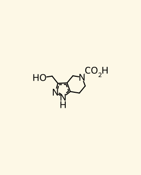 O=C(O)N1CCc2[nH]nc(CO)c2C1